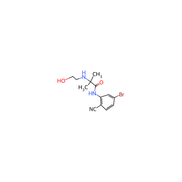 CC(C)(NCCO)C(=O)Nc1cc(Br)ccc1C#N